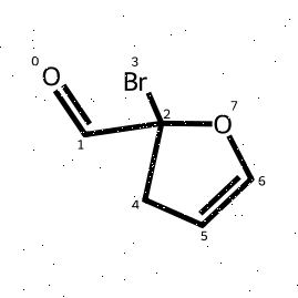 O=CC1(Br)CC=CO1